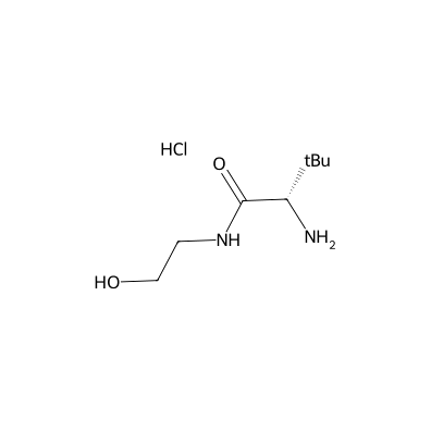 CC(C)(C)[C@H](N)C(=O)NCCO.Cl